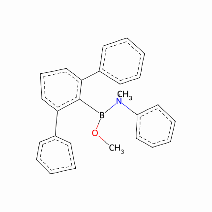 COB(c1c(-c2ccccc2)cccc1-c1ccccc1)N(C)c1ccccc1